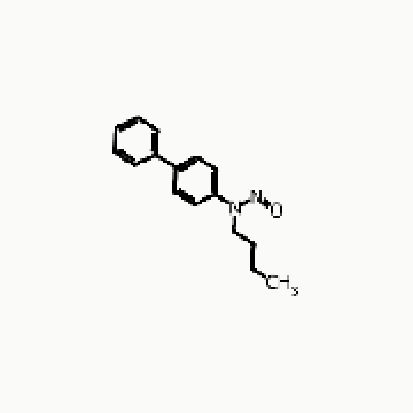 CCCCN(N=O)c1ccc(-c2ccccc2)cc1